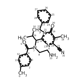 Cc1ccc(C(=O)N(CCN)C(c2nc(C#N)c(C)c(=O)n2Cc2ccccc2)C(C)C)cc1